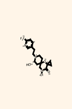 CCN1CC2(CCN(CCc3ccc(C(F)(F)F)nc3)CC2)OC2(CC2)C1=O.Cl